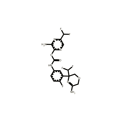 NC1=NC(c2cc(NC(=O)Oc3ncc(C(F)F)nc3N)ccc2F)(C(F)F)COC1